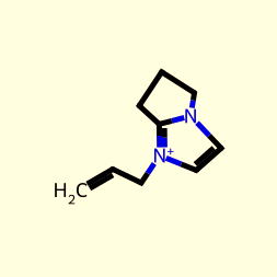 C=CC[n+]1ccn2c1CCC2